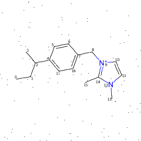 CCC(C)c1ccc(C[n+]2ccn(C)c2C)cc1